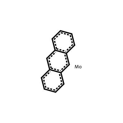 [Mo].c1ccc2cc3ccccc3cc2c1